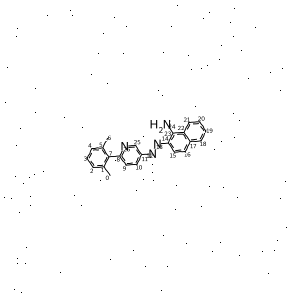 Cc1cccc(C)c1-c1ccc(N=Nc2ccc3ccccc3c2N)cn1